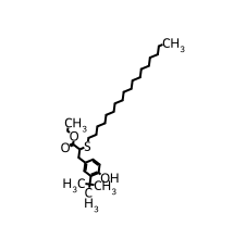 CCCCCCCCCCCCCCCCCCSC(Cc1ccc(O)c(C(C)(C)C)c1)C(=O)OCC